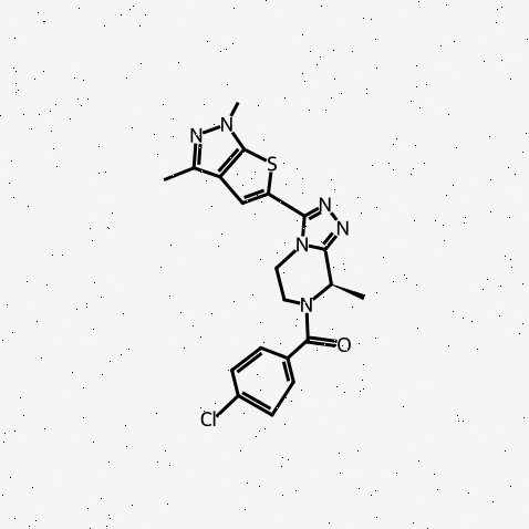 Cc1nn(C)c2sc(-c3nnc4n3CCN(C(=O)c3ccc(Cl)cc3)[C@@H]4C)cc12